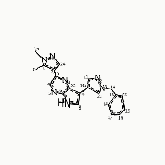 Cc1c(-c2cnc3[nH]cc(-c4cnn(Cc5ccccc5)c4)c3n2)cnn1C